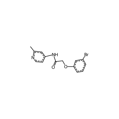 Cc1cc(NC(=O)COc2cccc(Br)c2)ccn1